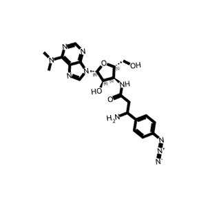 CN(C)c1ncnc2c1ncn2[C@@H]1O[C@H](CO)[C@@H](NC(=O)CC(N)c2ccc(N=[N+]=[N-])cc2)[C@H]1O